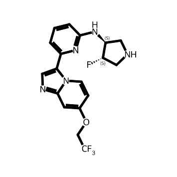 F[C@H]1CNC[C@@H]1Nc1cccc(-c2cnc3cc(OCC(F)(F)F)ccn23)n1